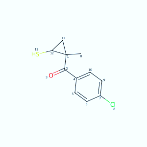 CC1(C(=O)c2ccc(Cl)cc2)CC1S